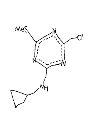 CSc1nc(Cl)nc(NC2CC2)n1